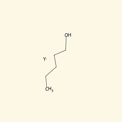 CCCCCO.[Y]